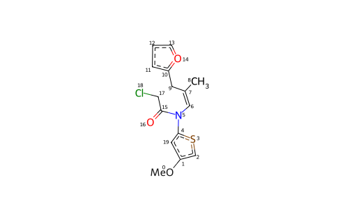 COc1csc(N(C=C(C)Cc2ccco2)C(=O)CCl)c1